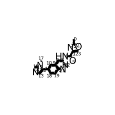 Cc1nc(C(=O)Nc2cc3cc(-c4cncn4C)ccc3nn2)co1